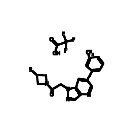 O=C(Cn1ncc2ncc(-c3cccc(C(F)(F)F)c3)cc21)N1CC(F)C1.O=C(O)C(F)(F)F